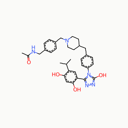 CC(=O)NCc1ccc(CN2CCC(Cc3ccc(-n4c(O)nnc4-c4cc(C(C)C)c(O)cc4O)cc3)CC2)cc1